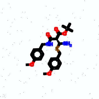 COc1ccc(CNC(=O)[C@H](C(=O)OC(C)(C)C)C(N)SCc2ccc(OC)cc2)cc1